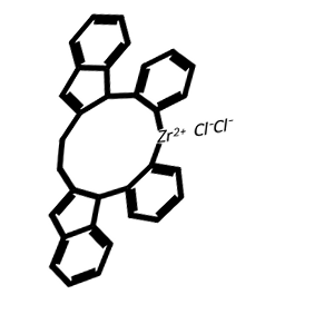 C1=C2CCC3=Cc4ccccc4C3c3cccc[c]3[Zr+2][c]3ccccc3C2c2ccccc21.[Cl-].[Cl-]